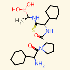 C[C@H](NC(=S)[C@@H](NC(=O)[C@@H]1CCCN1C(=O)[C@@H](N)C1CCCCC1)C1CCCCC1)B(O)O